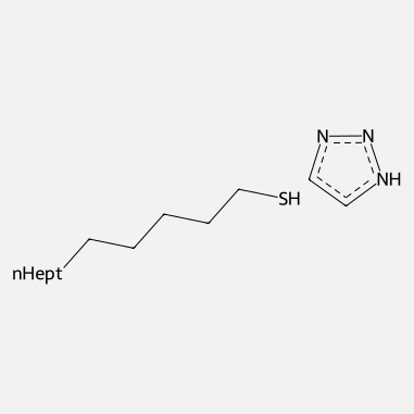 CCCCCCCCCCCCS.c1c[nH]nn1